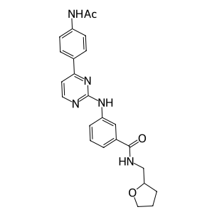 CC(=O)Nc1ccc(-c2ccnc(Nc3cccc(C(=O)NCC4CCCO4)c3)n2)cc1